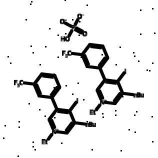 CCCCc1c[n+](CC)cc(-c2cccc(C(F)(F)F)c2)c1I.CCCCc1c[n+](CC)cc(-c2cccc(C(F)(F)F)c2)c1I.O=P([O-])([O-])O